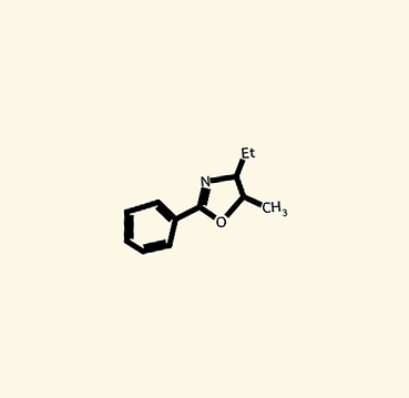 CCC1N=C(c2ccccc2)OC1C